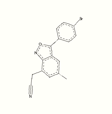 Cc1cc(CC#N)c2noc(-c3ccc(Br)cc3)c2c1